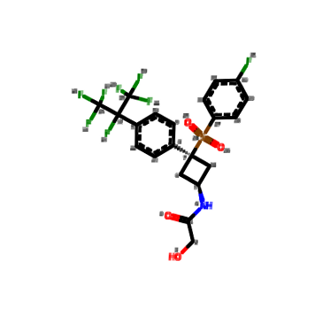 O=C(CO)N[C@H]1C[C@@](c2ccc(C(F)(C(F)(F)F)C(F)(F)F)cc2)(S(=O)(=O)c2ccc(F)cc2)C1